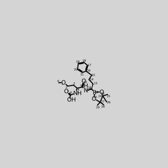 COCCC(NC(=O)O)C(=O)N[C@@H](CCCc1ccccc1)B1OC(C)(C)C(C)(C)O1